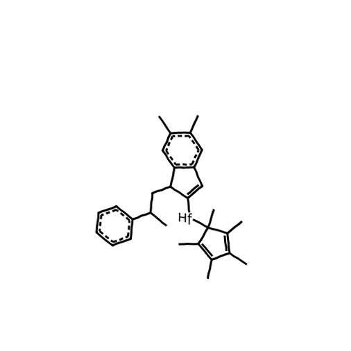 CC1=C(C)[C](C)([Hf][C]2=Cc3cc(C)c(C)cc3C2CC(C)c2ccccc2)C(C)=C1C